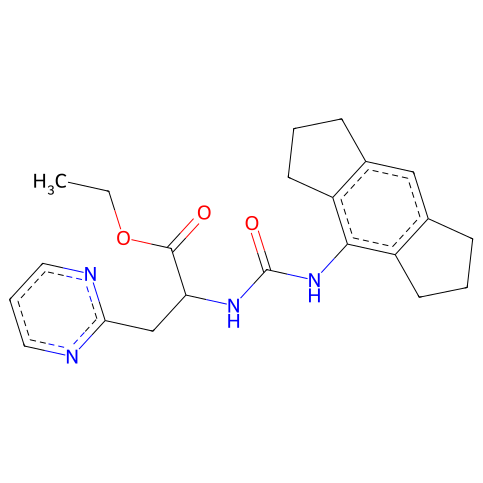 CCOC(=O)C(Cc1ncccn1)NC(=O)Nc1c2c(cc3c1CCC3)CCC2